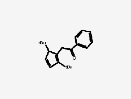 CC(C)(C)C1=C(CC(=O)c2ccccc2)C(C(C)(C)C)C=C1